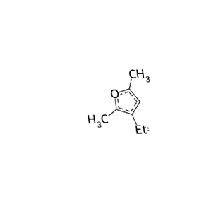 C[C]c1cc(C)oc1C